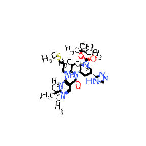 CSCCCNc1nc(C(C)(C)C)ncc1C(=O)N(CC(C)C)[C@H]1C[C@@H](c2nnc[nH]2)CN(C(=O)OC(C)(C)C)C1